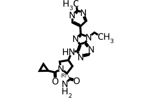 CCn1c(-c2cnc(C)nc2)nc2c(NC3C[C@H](C(N)=O)N(C(=O)C4CC4)C3)ncnc21